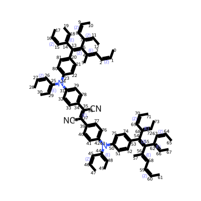 C\C=C/C=C(C)/C(C(/C=C\C)=C\C)=C(C(/C=C\C)=C/C)\c1ccc(N(C(/C=C\C)=C/C)c2ccc(/C(C#N)=C(\C#N)c3ccc(N(C(/C=C\C)=C/C)c4ccc(C(=C(C(\C)=C\C=C/C)/C(/C=C\C)=C/C)/C(/C=C\C)=C/C)cc4)cc3)cc2)cc1